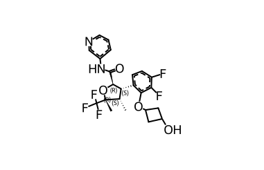 C[C@H]1[C@@H](c2ccc(F)c(F)c2OC2CC(O)C2)[C@H](C(=O)Nc2cccnc2)O[C@@]1(C)C(F)(F)F